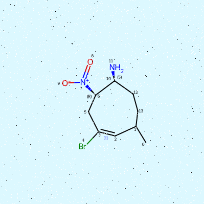 CC1/C=C(/Br)C[C@@H]([N+](=O)[O-])[C@@H](N)CC1